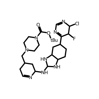 CC(C)(C)OC(=O)N1CCN(CC2CC=NC(NC3NC4CCC(C5=NC=NC(Cl)C5F)CC4N3)C2)CC1